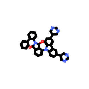 O=C1c2cccc(-n3c4ccc(-c5cncnc5)cc4c4cc(-c5cncnc5)ccc43)c2C(O)N1c1ccccc1-c1ccccc1